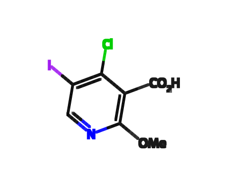 COc1ncc(I)c(Cl)c1C(=O)O